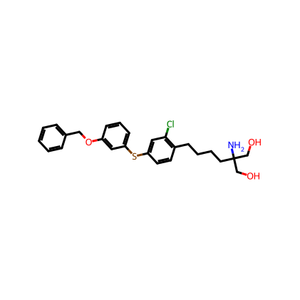 NC(CO)(CO)CCCCc1ccc(Sc2cccc(OCc3ccccc3)c2)cc1Cl